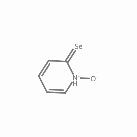 [O-][NH+]1C=CC=CC1=[Se]